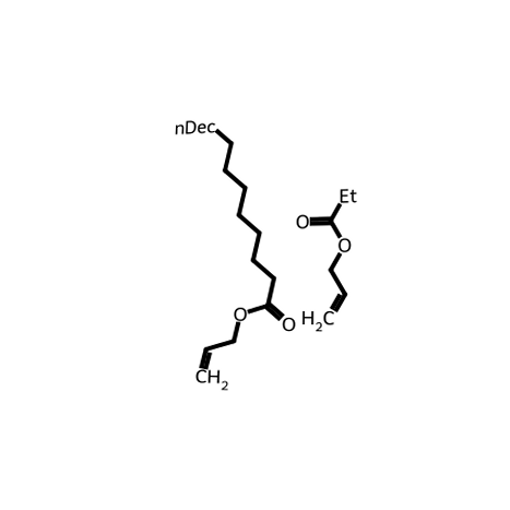 C=CCOC(=O)CC.C=CCOC(=O)CCCCCCCCCCCCCCCCC